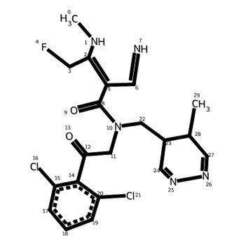 CN/C(CF)=C(\C=N)C(=O)N(CC(=O)c1c(Cl)cccc1Cl)CC1C=NN=CC1C